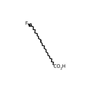 O=C(O)CCCCCCCCCCCCCC/C=C/CCCCCCCCC12CC(F)(C1)C2